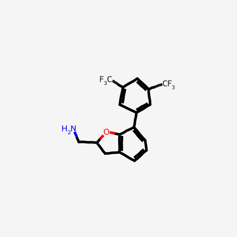 NCC1Cc2cccc(-c3cc(C(F)(F)F)cc(C(F)(F)F)c3)c2O1